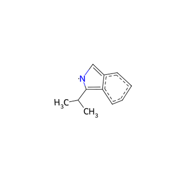 CC(C)C1=c2ccccc2=C[N]1